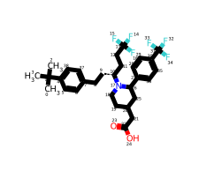 CC(C)(C)c1ccc(CC[C@H](CCC(F)(F)F)N2CCC(CC(=O)O)CC2c2ccc(C(F)(F)F)cc2)cc1